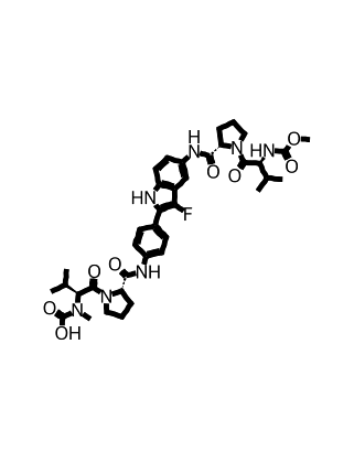 COC(=O)N[C@H](C(=O)N1CCC[C@H]1C(=O)Nc1ccc2[nH]c(-c3ccc(NC(=O)[C@@H]4CCCN4C(=O)[C@H](C(C)C)N(C)C(=O)O)cc3)c(F)c2c1)C(C)C